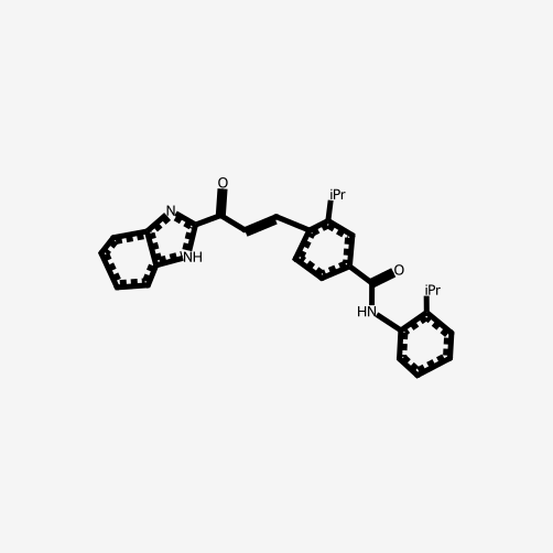 CC(C)c1cc(C(=O)Nc2ccccc2C(C)C)ccc1C=CC(=O)c1nc2ccccc2[nH]1